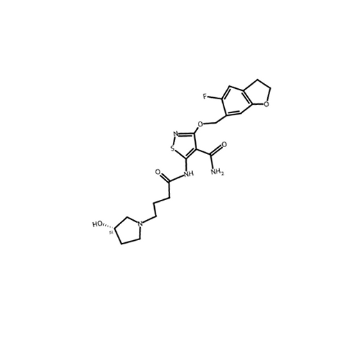 NC(=O)c1c(OCc2cc3c(cc2F)CCO3)nsc1NC(=O)CCCN1CC[C@H](O)C1